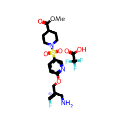 COC(=O)C1CCN(S(=O)(=O)c2ccc(OC/C(=C/F)CN)nc2)CC1.O=C(O)C(F)(F)F